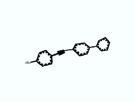 CCCCc1ccc(C#Cc2ccc(-c3ccccc3)cc2)cc1